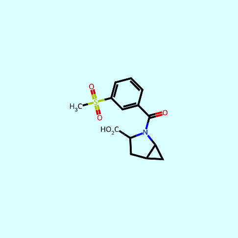 CS(=O)(=O)c1cccc(C(=O)N2C(C(=O)O)CC3CC32)c1